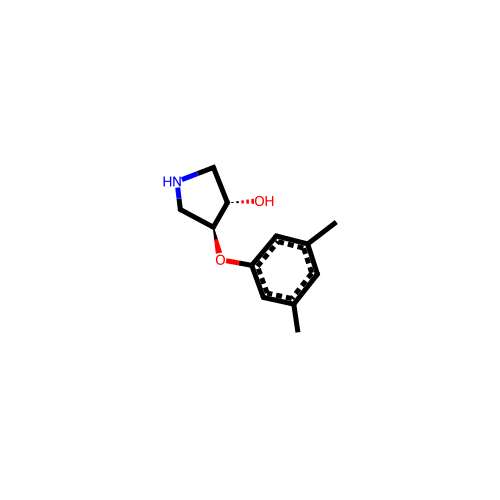 Cc1cc(C)cc(O[C@H]2CNC[C@@H]2O)c1